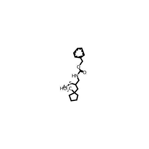 CC(=O)SC(CNC(=O)OCc1ccccc1)CC1(C(=O)O)CCCC1